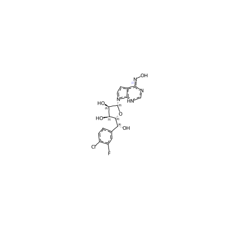 O/N=c1\nc[nH]c2c1ccn2[C@@H]1O[C@H]([C@H](O)c2ccc(Cl)c(F)c2)[C@@H](O)[C@H]1O